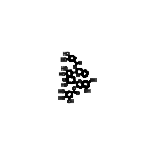 O=C(O[C@H]1Cc2c(O)cc(O)cc2O[C@H]1c1cc(O)c(=O)c2c(O)c(O)cc([C@@H]3Oc4ccccc4C[C@@H]3OC(=O)c3ccc(O)c(O)c3)c2c1)c1cc(O)c(O)c(O)c1